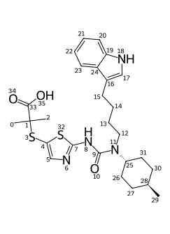 CC(C)(Sc1cnc(NC(=O)N(CCCCc2c[nH]c3ccccc23)[C@H]2CC[C@H](C)CC2)s1)C(=O)O